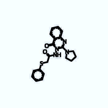 O=C(CSc1ccccc1)Nn1c(N2CCCC2)nc2ccccc2c1=O